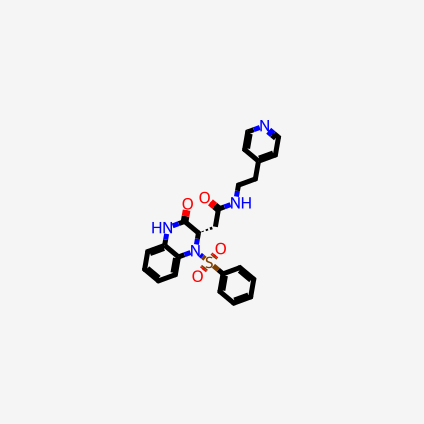 O=C(C[C@H]1C(=O)Nc2ccccc2N1S(=O)(=O)c1ccccc1)NCCc1ccncc1